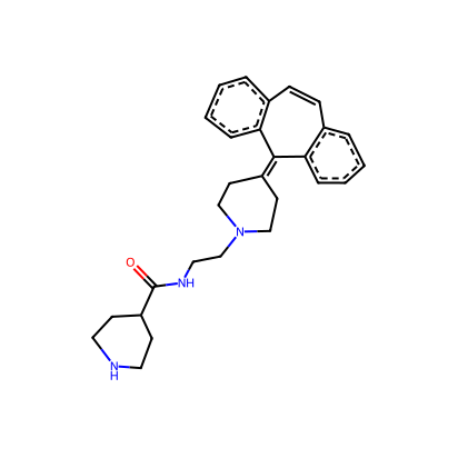 O=C(NCCN1CCC(=C2c3ccccc3C=Cc3ccccc32)CC1)C1CCNCC1